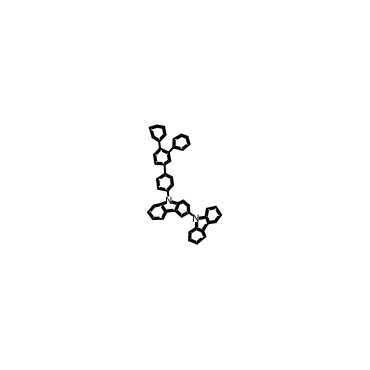 c1ccc(-c2ccc(-c3ccc(-n4c5ccccc5c5cc(-n6c7ccccc7c7ccccc76)ccc54)cc3)cc2-c2ccccc2)cc1